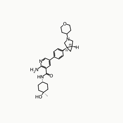 C[C@]1(O)CC[C@H](NC(=O)c2cc(-c3ccc([C@]45C[C@H]4CN(C4CCOCC4)C5)cc3)cnc2N)CC1